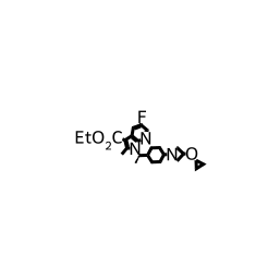 CCOC(=O)c1c(C)n([C@H](C)C2CCC(N3CC(OC4CC4)C3)CC2)c2ncc(F)cc12